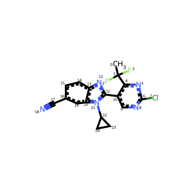 CC(F)(F)c1nc(Cl)ncc1-c1nc2ccc(C#N)cc2n1C1CC1